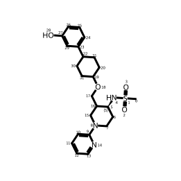 CS(=O)(=O)N[C@H]1CCN(c2ccccn2)CC1COC1CCC(c2cccc(O)c2)CC1